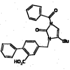 CC(C)(C)c1cn(C(=O)c2ccccc2)c(=O)n1Cc1ccc(-c2ccccc2)c(C(=O)O)c1